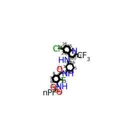 CCCS(=O)(=O)Nc1cccc(C(=O)N[C@@H]2CCC[C@H](Nc3cc(C(F)(F)F)nc4ccc(Cl)cc34)C2)c1F